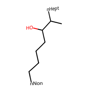 CCCCCCCCCCCCCC(O)C(C)CCCCCCC